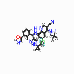 Cc1c(-c2cnco2)cccc1[C@H](Nc1cc(Cl)cc2c(NCC(C)(C)C)c(C#N)cnc12)c1cn(C2(C(F)F)CC2)nn1